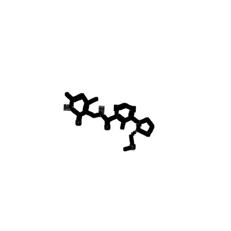 COC[C@H]1CCCN1c1ncnc(C(=O)NCc2c(C)cc(C)[nH]c2=O)c1C